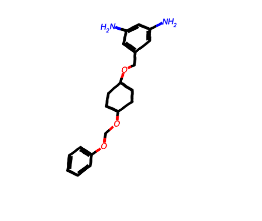 Nc1cc(N)cc(COC2CCC(OCOc3ccccc3)CC2)c1